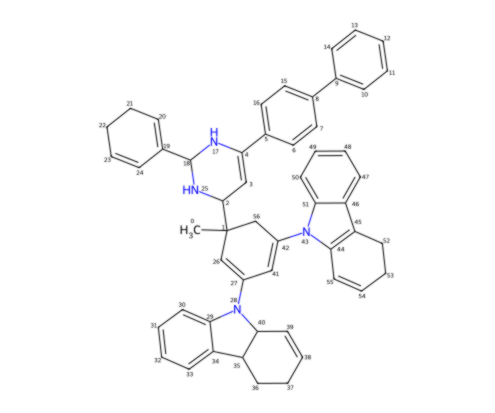 CC1(C2C=C(c3ccc(-c4ccccc4)cc3)NC(C3=CCCC=C3)N2)C=C(N2c3ccccc3C3CCC=CC32)C=C(n2c3c(c4ccccc42)CCC=C3)C1